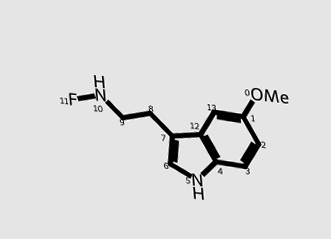 COc1ccc2[nH]cc(CCNF)c2c1